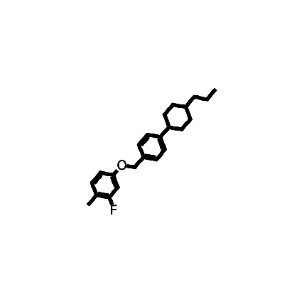 CCCC1CCC(c2ccc(COc3ccc(C)c(F)c3)cc2)CC1